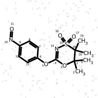 CC1(C)OC(Oc2ccc(N=O)cc2)=NS(=O)(=O)C1(C)C